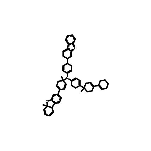 CC1(C2=CC=C(N(C3=CCC(C4C=c5oc6ccccc6c5=CC4)C=C3)C3(C)C=CC(c4ccc5c(c4)OC4(C)C=CC=CC54)=CC3)CC2)CC=C(C2=CCCCC2)CC1